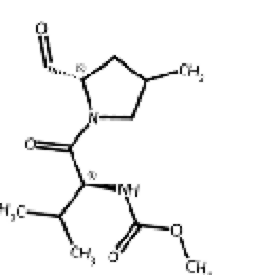 COC(=O)N[C@H](C(=O)N1CC(C)C[C@H]1C=O)C(C)C